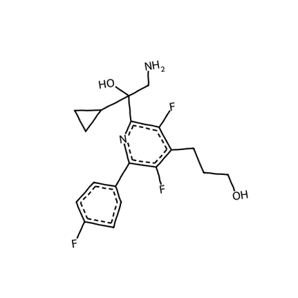 NCC(O)(c1nc(-c2ccc(F)cc2)c(F)c(CCCO)c1F)C1CC1